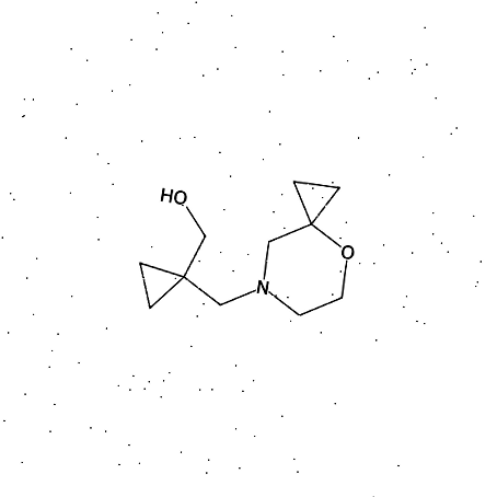 OCC1(CN2CCOC3(CC3)C2)CC1